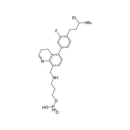 CCCCC(CC)CCc1ccc(-c2ccc(CNCCCO[PH](=O)O)c3c2CCC=N3)cc1F